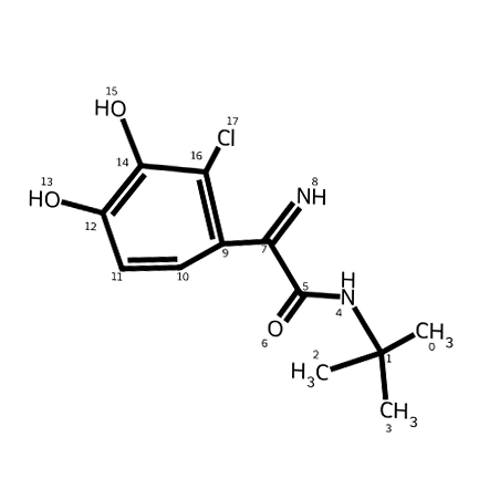 CC(C)(C)NC(=O)C(=N)c1ccc(O)c(O)c1Cl